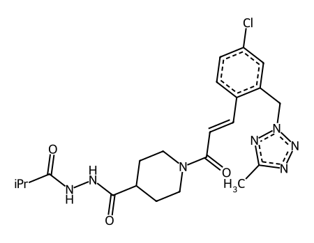 Cc1nnn(Cc2cc(Cl)ccc2C=CC(=O)N2CCC(C(=O)NNC(=O)C(C)C)CC2)n1